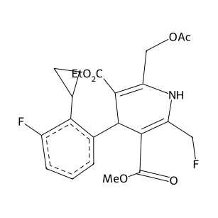 CCOC(=O)C1=C(COC(C)=O)NC(CF)=C(C(=O)OC)C1c1cccc(F)c1C1CC1